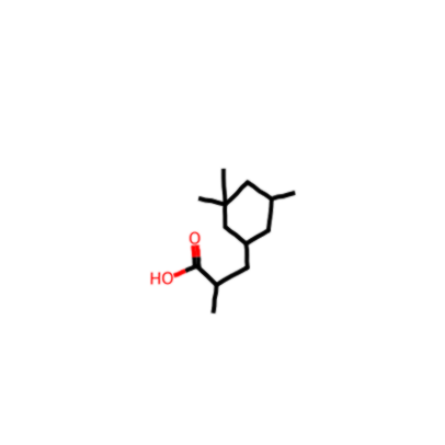 CC1CC(CC(C)C(=O)O)CC(C)(C)C1